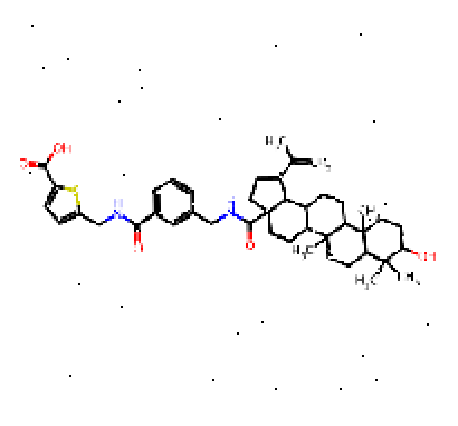 C=C(C)C1CCC2(C(=O)NCc3cccc(C(=O)NCc4ccc(C(=O)O)s4)c3)CCC3C(CCC4C3(C)CCC3C(C)(C)C(O)CCC34C)C12